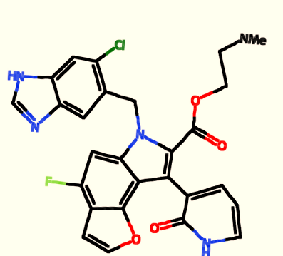 CNCCOC(=O)c1c(-c2ccc[nH]c2=O)c2c3occc3c(F)cc2n1Cc1cc2nc[nH]c2cc1Cl